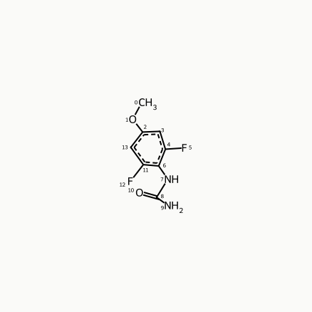 COc1cc(F)c(NC(N)=O)c(F)c1